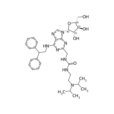 CC(C)N(CCNC(=O)NCc1nc(NCC(c2ccccc2)c2ccccc2)c2ncn([C@@H]3O[C@H](CO)[C@@H](O)[C@@H]3O)c2n1)C(C)C